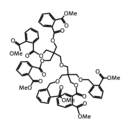 COC(=O)c1ccccc1COCC(COCc1ccccc1C(=O)OC)(COCC(COC(=O)c1ccccc1C(=O)OC)(COC(=O)c1ccccc1C(=O)OC)COC(=O)c1ccccc1C(=O)OC)COC(=O)c1ccccc1C(=O)OC